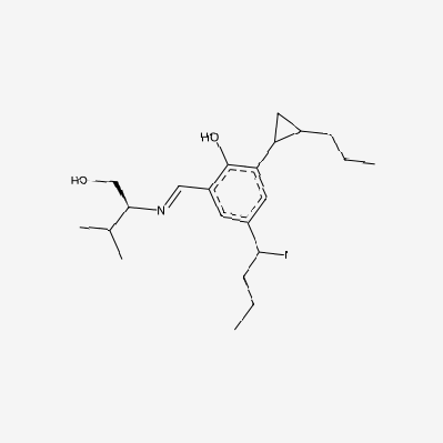 CCCC(I)c1cc(/C=N/[C@H](CO)C(C)C)c(O)c(C2CC2CCC)c1